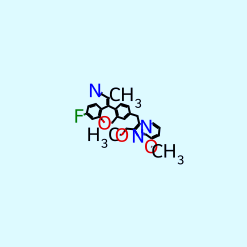 COCc1nc2c(OC)cccn2c1Cc1ccc2c(c1)COc1cc(F)ccc1/C2=C(/C)C#N